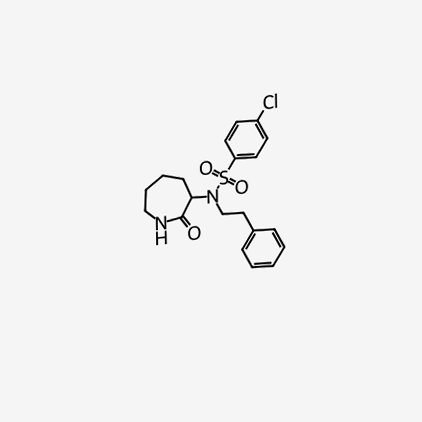 O=C1NCCCCC1N(CCc1ccccc1)S(=O)(=O)c1ccc(Cl)cc1